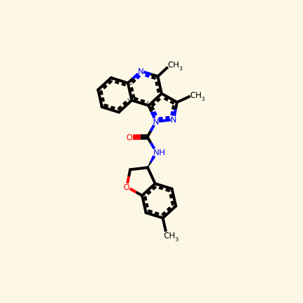 Cc1ccc2c(c1)OC[C@H]2NC(=O)n1nc(C)c2c(C)nc3ccccc3c21